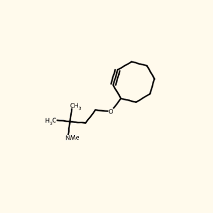 CNC(C)(C)CCOC1C#CCCCCC1